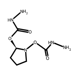 NNC(=O)O[C@@H]1CCCN1OC(=O)NN